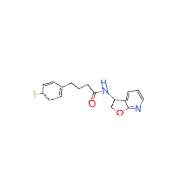 O=C(CCCc1ccc(F)cc1)NC1COc2ncccc21